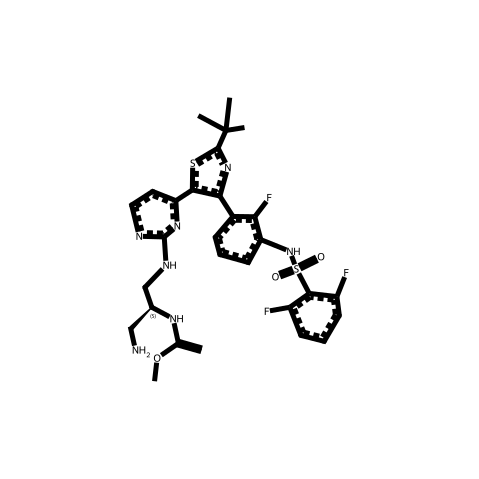 C=C(N[C@@H](CN)CNc1nccc(-c2sc(C(C)(C)C)nc2-c2cccc(NS(=O)(=O)c3c(F)cccc3F)c2F)n1)OC